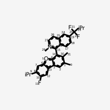 Cc1cc2c(oc3cc(C(C)C)c(F)cc32)c(-c2c3ccc(C(F)(F)C(C)C)cc3cc[n+]2C)c1C